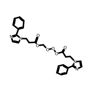 O=C(CCn1ccnc1-c1ccccc1)OCOOOC(=O)CCn1ccnc1-c1ccccc1